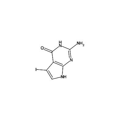 Nc1nc2[nH]cc(I)c2c(=O)[nH]1